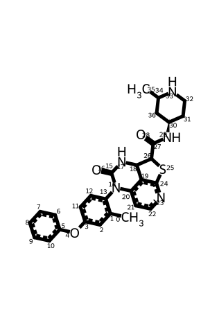 Cc1cc(Oc2ccccc2)ccc1N1C(=O)NC2c3c1ccnc3SC2C(=O)N[C@@H]1CCNC(C)C1